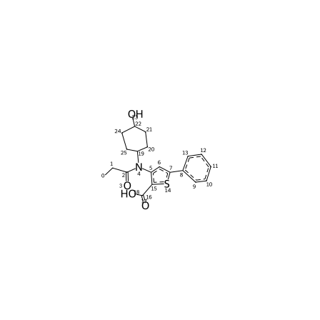 CCC(=O)N(c1cc(-c2ccccc2)sc1C(=O)O)C1CCC(O)CC1